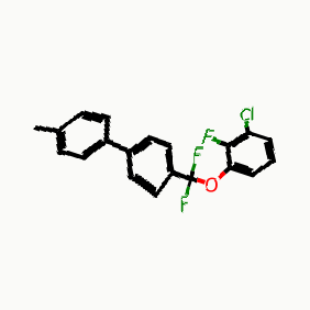 Cc1ccc(-c2ccc(C(F)(F)Oc3cccc(Cl)c3F)cc2)cc1